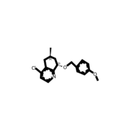 COc1ccc(CO[C@H]2C[C@H](C)Cc3c(Cl)ccnc32)cc1